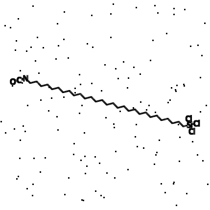 O=C=NCCCCCCCCCCCCCCCCCCCCCCCCCCCCC[Si](Cl)(Cl)Cl